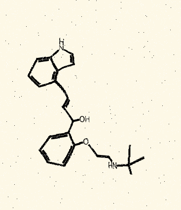 CC(C)(C)NCCOc1ccccc1C(O)/C=C/c1cccc2[nH]ccc12